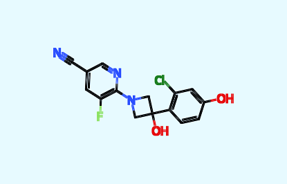 N#Cc1cnc(N2CC(O)(c3ccc(O)cc3Cl)C2)c(F)c1